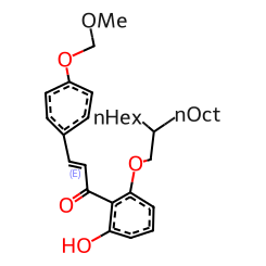 CCCCCCCCC(CCCCCC)COc1cccc(O)c1C(=O)/C=C/c1ccc(OCOC)cc1